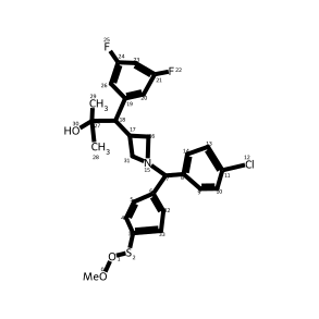 COOSc1ccc(C(c2ccc(Cl)cc2)N2CC(C(c3cc(F)cc(F)c3)C(C)(C)O)C2)cc1